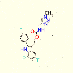 Cn1cc(CNC(=O)OCCc2c(-c3ccc(F)cc3)[nH]c3c(F)cc(F)cc23)nn1